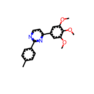 COc1cc(-c2ccnc(-c3ccc(C)cc3)n2)cc(OC)c1OC